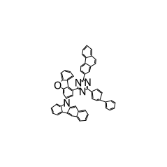 c1ccc(-c2ccc(-c3nc(-c4ccc5c(ccc6ccccc65)c4)nc(-c4cc(-n5c6ccccc6c6cc7ccccc7cc65)cc5oc6ccccc6c45)n3)cc2)cc1